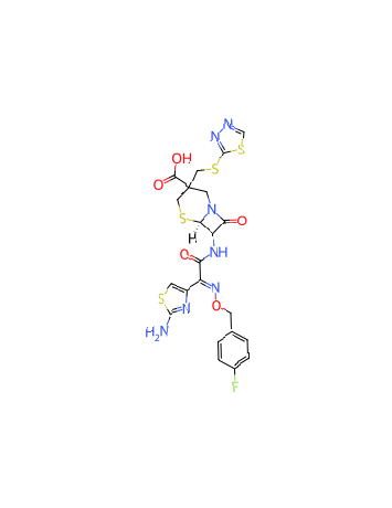 Nc1nc(C(=NOCc2ccc(F)cc2)C(=O)NC2C(=O)N3CC(CSc4nncs4)(C(=O)O)CS[C@H]23)cs1